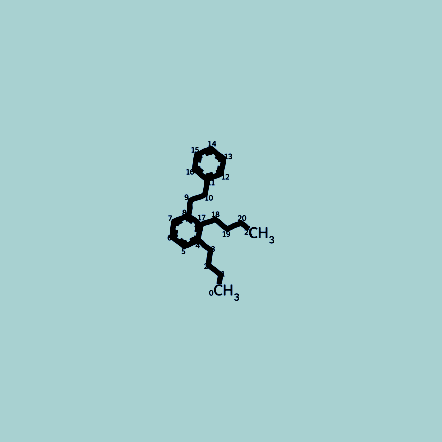 CCCCc1cccc(CCc2ccccc2)c1CCCC